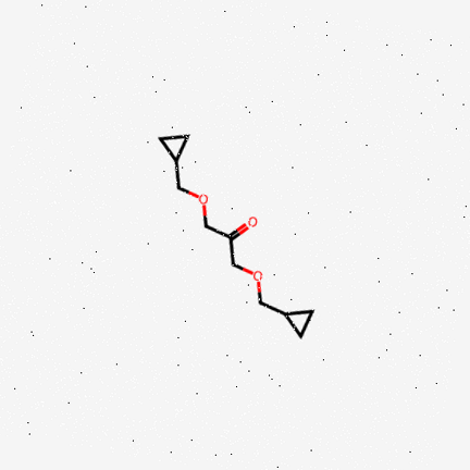 O=C(COCC1CC1)COCC1CC1